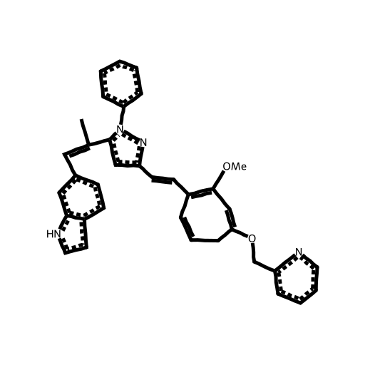 COC1=C(/C=C/c2cc(/C(C)=C\c3ccc4cc[nH]c4c3)n(-c3ccccc3)n2)C=CCC(OCc2ccccn2)=C1